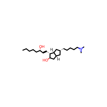 CCCCC[C@H](O)/C=C/[C@@H]1[C@H]2C[C@H](CCCCCN(C)C)C[C@H]2C[C@H]1O